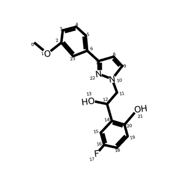 COc1cccc(-c2ccn(CC(O)c3cc(F)ccc3O)n2)c1